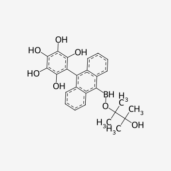 CC(C)(O)C(C)(C)OBc1c2ccccc2c(-c2c(O)c(O)c(O)c(O)c2O)c2ccccc12